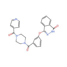 O=C(c1ccncc1)N1CCN(C(=O)c2cccc(Oc3n[nH]c(=O)c4ccccc34)c2)CC1